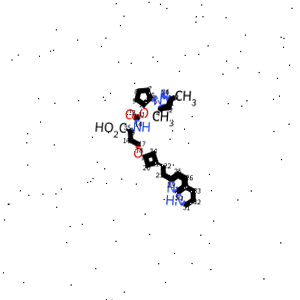 Cc1cc(C)n(C2CCC[C@@H]2OC(=O)N[C@@H](CCO[C@H]2C[C@H](CCc3ccc4c(n3)NCCC4)C2)C(=O)O)n1